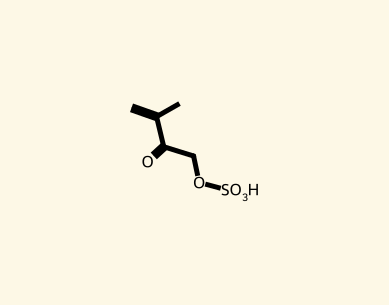 C=C(C)C(=O)COS(=O)(=O)O